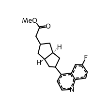 COC(=O)CC1C[C@@H]2CC(c3ccnc4ccc(F)cc34)C[C@@H]2C1